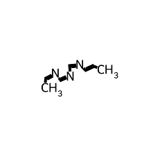 C\C=N/C=N\C=N/C=C/C